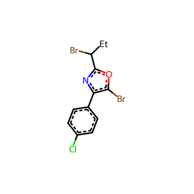 CCC(Br)c1nc(-c2ccc(Cl)cc2)c(Br)o1